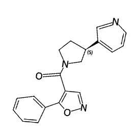 O=C(c1cnoc1-c1ccccc1)N1CC[C@@H](c2cccnc2)C1